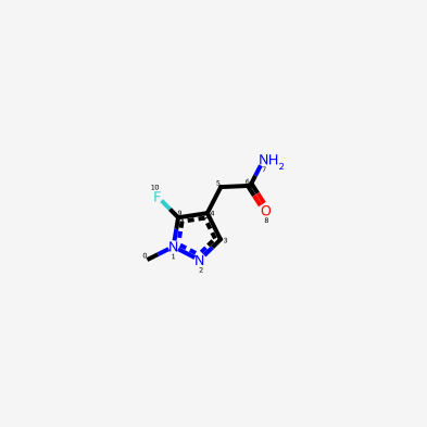 Cn1ncc(CC(N)=O)c1F